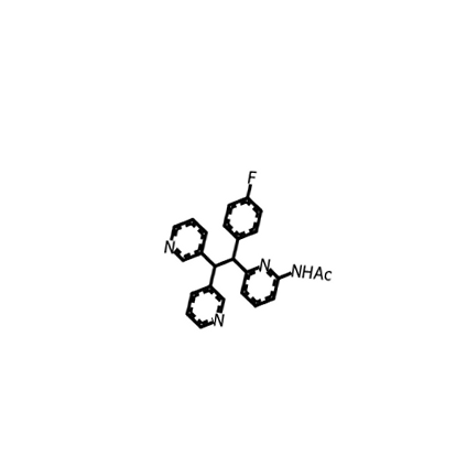 CC(=O)Nc1cccc(C(c2ccc(F)cc2)C(c2cccnc2)c2cccnc2)n1